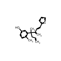 C=CCC(C)(C(=C)/C=C/c1cccs1)c1cc(O)ccc1C